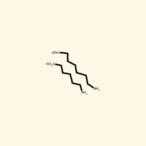 CCCCCCCCCCCCCCCCN.NCCCCCC(=O)O